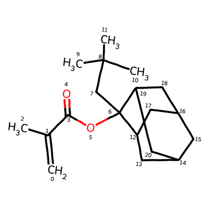 C=C(C)C(=O)OC1(CC(C)(C)C)C2CC3CC(C2)CC1C3